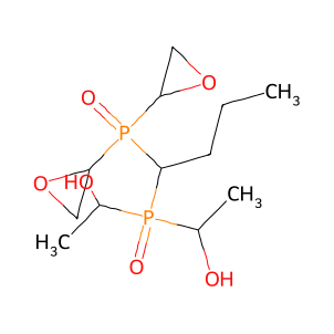 CCCC(P(=O)(C(C)O)C(C)O)P(=O)(C1CO1)C1CO1